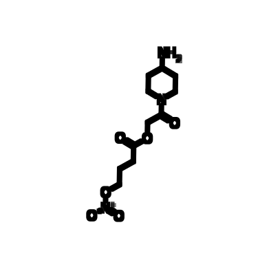 NC1CCN(C(=O)COC(=O)CCCO[N+](=O)[O-])CC1